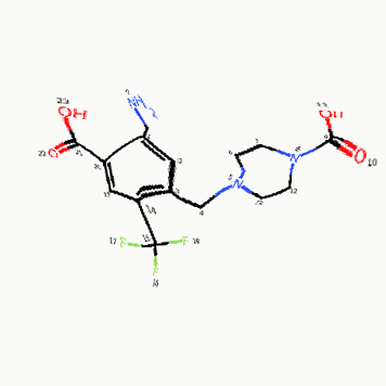 Nc1cc(CN2CCN(C(=O)O)CC2)c(C(F)(F)F)cc1C(=O)O